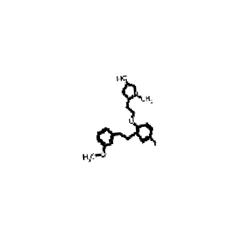 COc1cccc(CCc2cc(F)ccc2OCCC2CC(O)CN2C)c1